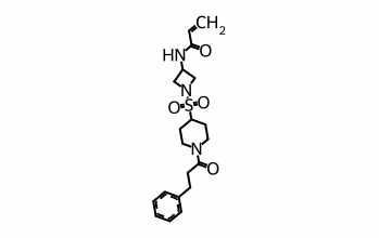 C=CC(=O)NC1CN(S(=O)(=O)C2CCN(C(=O)CCc3ccccc3)CC2)C1